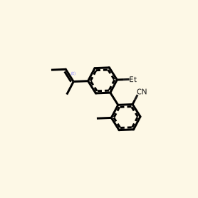 C/C=C(\C)c1ccc(CC)c(-c2c(C)cccc2C#N)c1